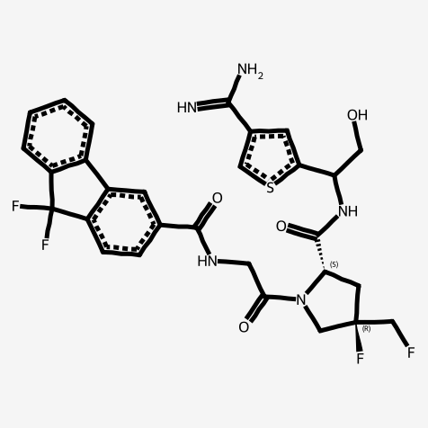 N=C(N)c1csc(C(CO)NC(=O)[C@@H]2C[C@](F)(CF)CN2C(=O)CNC(=O)c2ccc3c(c2)-c2ccccc2C3(F)F)c1